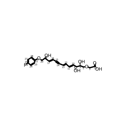 O=C(O)COC[C@H](O)[C@H](O)/C=C/C=C/C#C/C=C/[C@@H](O)COc1ccc(F)cc1